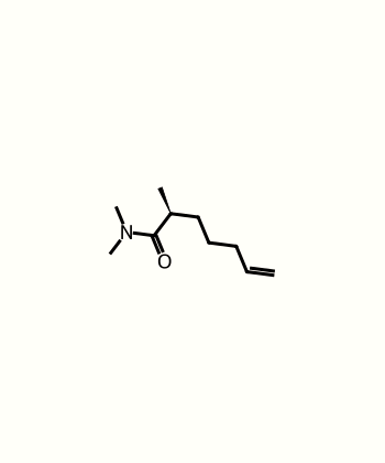 C=CCCC[C@H](C)C(=O)N(C)C